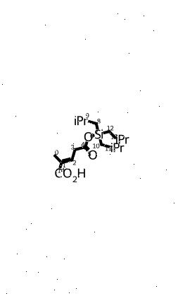 CC(=CCC(=O)O[Si](CC(C)C)(CC(C)C)CC(C)C)C(=O)O